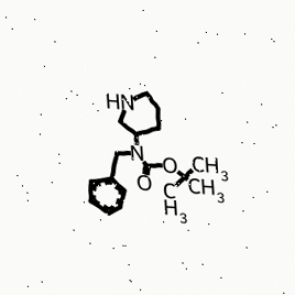 CC(C)(C)OC(=O)N(Cc1ccccc1)C1CCCNC1